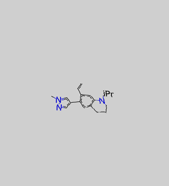 C=Cc1cc2c(cc1-c1cnn(C)c1)CCCN2C(C)C